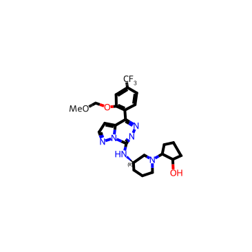 COCOc1cc(C(F)(F)F)ccc1-c1nnc(N[C@@H]2CCCN(C3CCCC3O)C2)n2nccc12